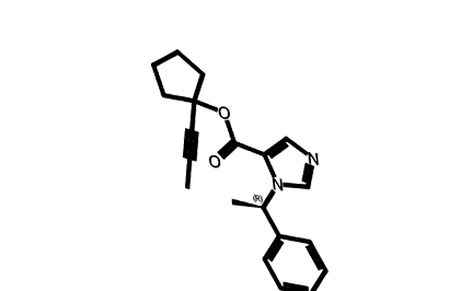 CC#CC1(OC(=O)c2cncn2[C@H](C)c2ccccc2)CCCC1